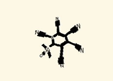 [CH3][Sb]([CH3])(=[O])[CH]1B(C#N)C(C#N)=C(C#N)C(C#N)=C1C#N